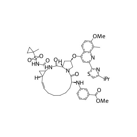 COC(=O)c1cccc(N[C@H]2CCCCC/C=C\[C@@H]3C[C@@]3(C(=O)NS(=O)(=O)C3(C)CC3)NC(=O)[C@@H]3C[C@@H](Oc4cc(-c5nc(C(C)C)cs5)nc5c(C)c(OC)ccc45)CN3C2=O)c1